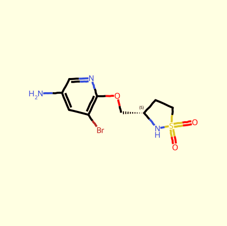 Nc1cnc(OC[C@@H]2CCS(=O)(=O)N2)c(Br)c1